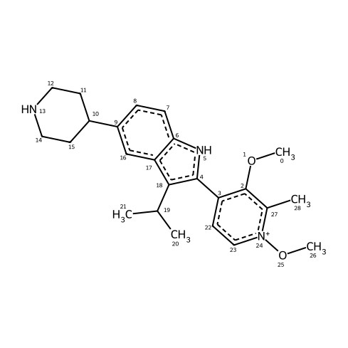 COc1c(-c2[nH]c3ccc(C4CCNCC4)cc3c2C(C)C)cc[n+](OC)c1C